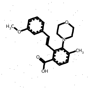 COc1cccc(C=Cc2c(C(=O)O)ccc(C)c2N2CCOCC2)c1